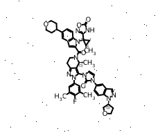 Cc1cc(-n2nc3c(c2-n2ccn(-c4ccc5c(cnn5[C@H]5CCOC5)c4)c2=O)[C@H](C)N(C(=O)c2cc4cc(C5CCOCC5)ccc4n2[C@@]2(c4noc(=O)[nH]4)C[C@@H]2C)CC3)cc(C)c1F